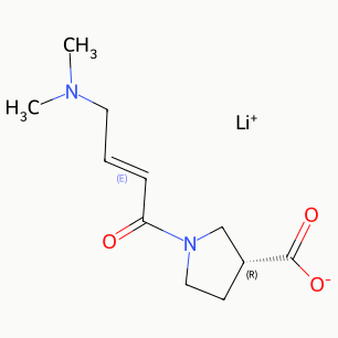 CN(C)C/C=C/C(=O)N1CC[C@@H](C(=O)[O-])C1.[Li+]